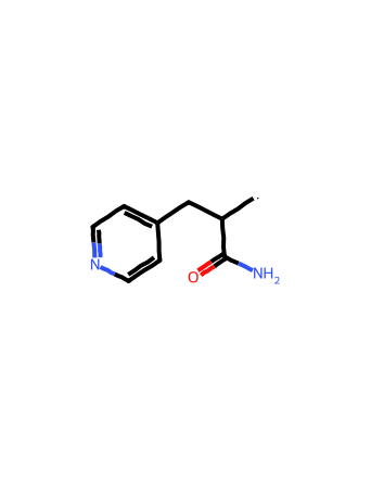 [CH2]C(Cc1ccncc1)C(N)=O